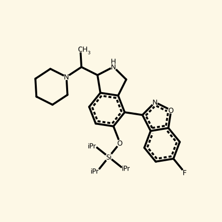 CC(C1NCc2c1ccc(O[Si](C(C)C)(C(C)C)C(C)C)c2-c1noc2cc(F)ccc12)N1CCCCC1